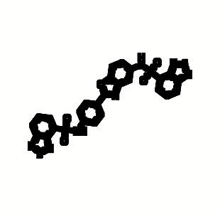 O=S(=O)(Nc1ccc(-c2nc3cc(NS(=O)(=O)c4cccc5nsnc45)ccc3o2)cc1)c1cccc2nsnc12